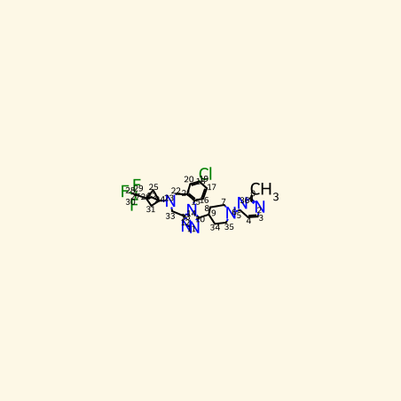 Cc1nccc(N2CCC(c3nnc4n3-c3ccc(Cl)cc3CN(C35CC(C(F)(F)F)(C3)C5)C4)CC2)n1